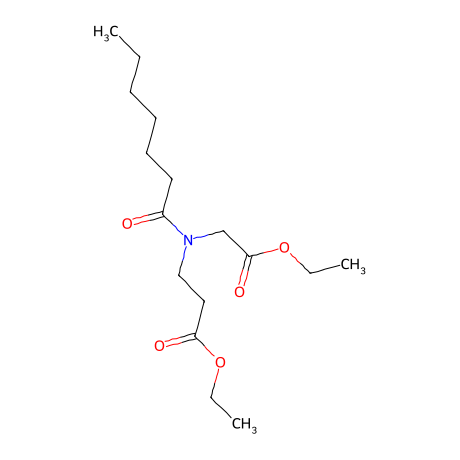 CCCCCCC(=O)N(CCC(=O)OCC)CC(=O)OCC